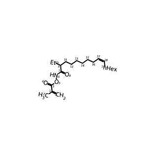 C=C(C)C(=O)ONC(=O)C(CC)CCCCCC/C=C\CCCCCC